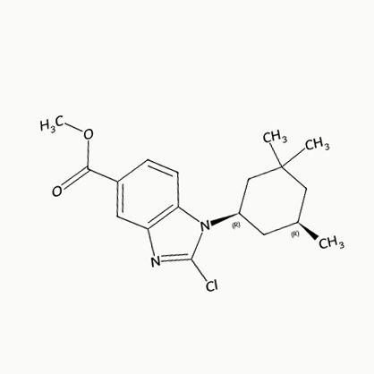 COC(=O)c1ccc2c(c1)nc(Cl)n2[C@@H]1C[C@H](C)CC(C)(C)C1